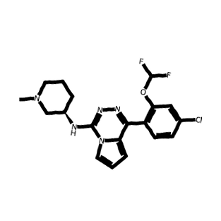 CN1CCC[C@@H](Nc2nnc(-c3ccc(Cl)cc3OC(F)F)c3cccn23)C1